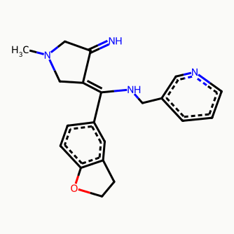 CN1CC(=N)/C(=C(\NCc2cccnc2)c2ccc3c(c2)CCO3)C1